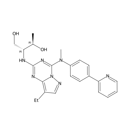 CCc1cnn2c(N(C)c3ccc(-c4ccccn4)cc3)nc(N[C@H](CO)[C@@H](C)O)nc12